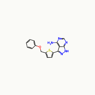 Nc1ncnc2[nH]nc(-c3ccc(COc4ccccc4)s3)c12